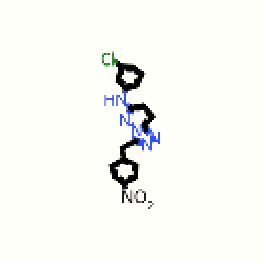 O=[N+]([O-])c1ccc(Cc2nnc3ccc(Nc4cccc(Cl)c4)nn23)cc1